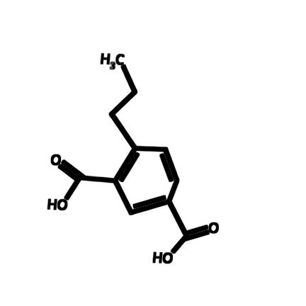 CCCc1ccc(C(=O)O)cc1C(=O)O